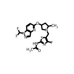 CC(=O)Nc1nc(F)c(CN2CC(Oc3ccc4c(cnn4C(F)F)n3)CC2C)s1